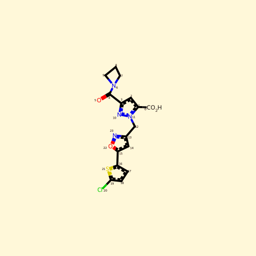 O=C(O)c1cc(C(=O)N2CCC2)nn1Cc1cc(-c2ccc(Cl)s2)on1